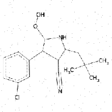 CC(C)(C)CC1NC(OO)C(c2cccc(Cl)c2)C1C#N